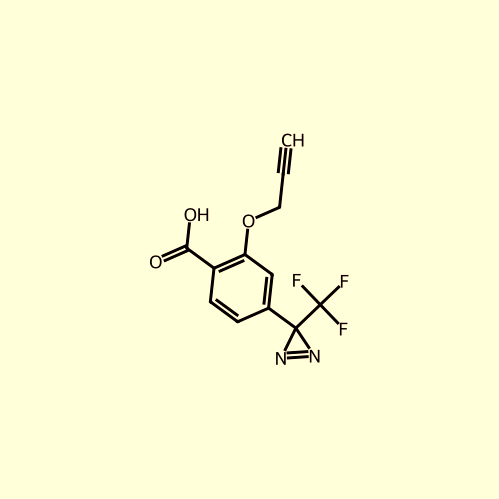 C#CCOc1cc(C2(C(F)(F)F)N=N2)ccc1C(=O)O